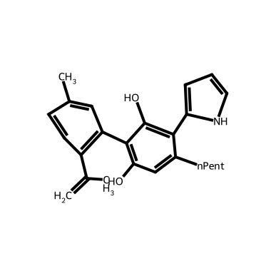 C=C(C)c1ccc(C)cc1-c1c(O)cc(CCCCC)c(-c2ccc[nH]2)c1O